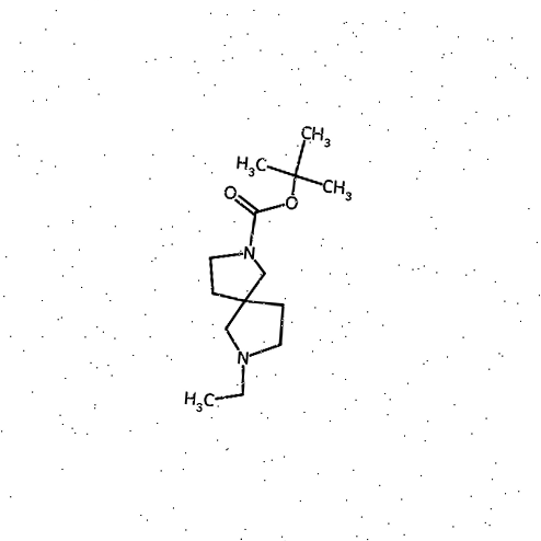 CCN1CCC2(CCN(C(=O)OC(C)(C)C)C2)C1